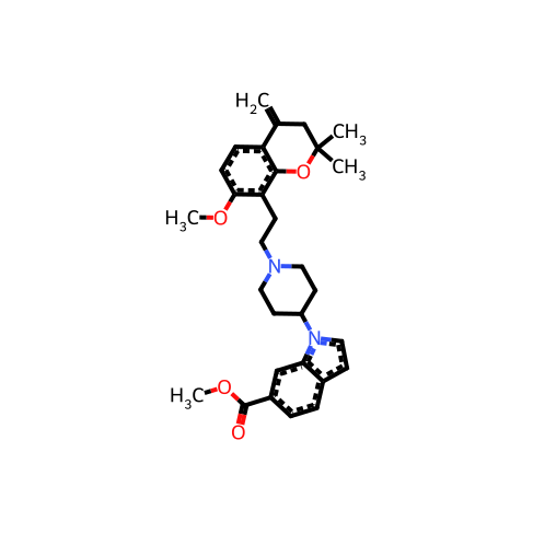 C=C1CC(C)(C)Oc2c1ccc(OC)c2CCN1CCC(n2ccc3ccc(C(=O)OC)cc32)CC1